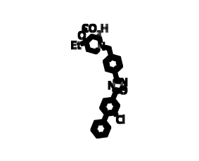 CCC1(OC(=O)O)CCN(Cc2ccc(-c3noc(-c4ccc(-c5ccccc5)c(Cl)c4)n3)cc2)CC1